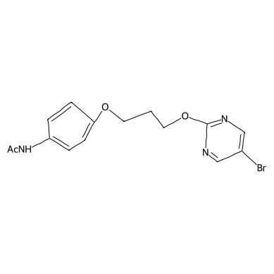 CC(=O)Nc1ccc(OCCCOc2ncc(Br)cn2)cc1